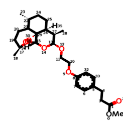 COC(=O)CCc1ccc(OCCO[C@H]2O[C@@H]3O[C@@]4(C)CCC5[C@H](C)CC[C@@H]([C@H]2C)[C@]53OO4)cc1